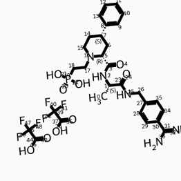 C[C@H](NC(=O)[C@H]1C[C@@H](c2ccccc2)CCN1CCP(=O)(O)O)C(=O)NCc1ccc(C(=N)N)cc1.O=C(O)C(F)(F)F.O=C(O)C(F)(F)F